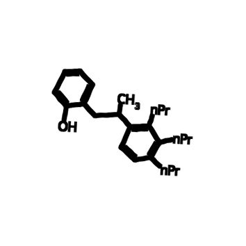 CCCc1ccc(C(C)Cc2ccccc2O)c(CCC)c1CCC